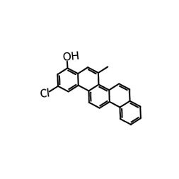 Cc1cc2c(O)cc(Cl)cc2c2ccc3c4ccccc4ccc3c12